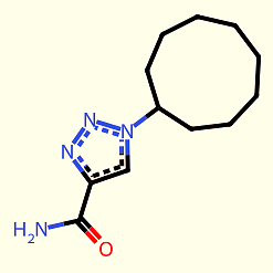 NC(=O)c1cn(C2CCCCCCCC2)nn1